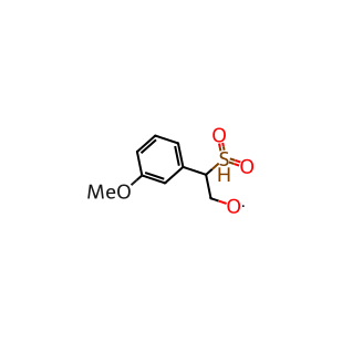 COc1cccc(C(C[O])[SH](=O)=O)c1